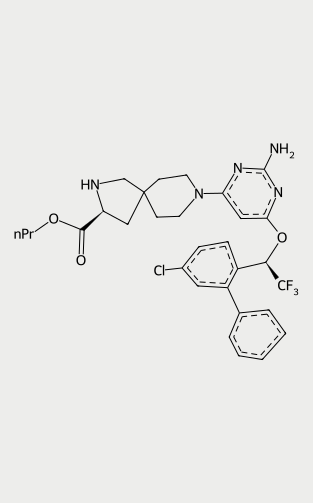 CCCOC(=O)[C@@H]1CC2(CCN(c3cc(O[C@H](c4ccc(Cl)cc4-c4ccccc4)C(F)(F)F)nc(N)n3)CC2)CN1